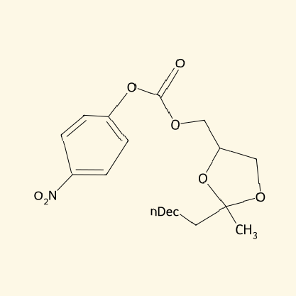 CCCCCCCCCCCC1(C)OCC(COC(=O)Oc2ccc([N+](=O)[O-])cc2)O1